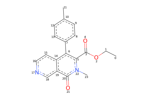 CCOC(=O)c1c(-c2ccc(C)cc2)c2ccncc2c(=O)n1C